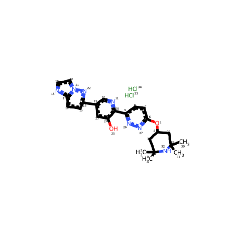 CC1(C)CC(Oc2ccc(-c3ncc(-c4ccc5nccn5n4)cc3O)nn2)CC(C)(C)N1.Cl.Cl